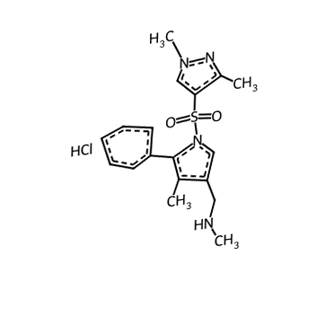 CNCc1cn(S(=O)(=O)c2cn(C)nc2C)c(-c2ccccc2)c1C.Cl